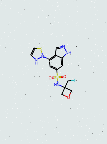 O=S(=O)(NC1(CF)COC1)c1cc(N2NC=CS2)c2cn[nH]c2c1